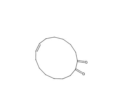 O=C1CCCCCC=CCCCCCCC1=O